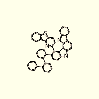 c1ccc(-c2ccccc2-c2ccccc2-c2ccc3c(c2-c2ccc4sc5ccccc5c4n2)-c2c4c(ccc2=N3)=c2ccccc2=N4)cc1